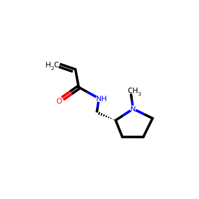 C=CC(=O)NC[C@H]1CCCN1C